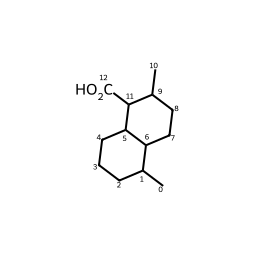 CC1CCCC2C1CCC(C)C2C(=O)O